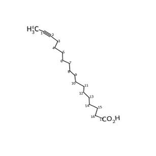 CC#CCCCCCCCCCCCCCCC(=O)O